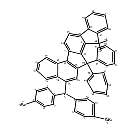 CC(C)(C)c1ccc(P(c2ccc(C(C)(C)C)cc2)c2cc3c(c4ccccc24)-c2ccc4c(c2C3(c2ccccc2)c2ccccc2)C(C)(C)c2ccccc2-4)cc1